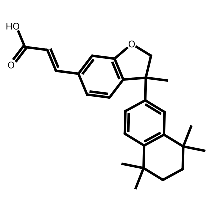 CC1(C)CCC(C)(C)c2cc(C3(C)COc4cc(C=CC(=O)O)ccc43)ccc21